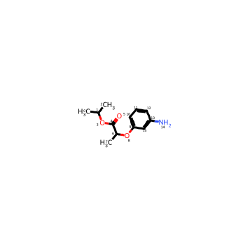 CC(C)OC(=O)C(C)Oc1cccc(N)c1